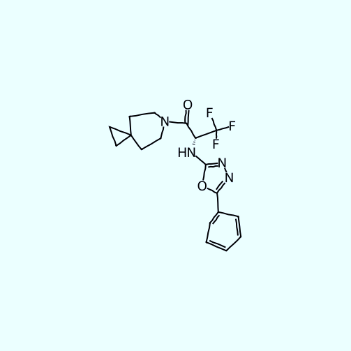 O=C([C@@H](Nc1nnc(-c2ccccc2)o1)C(F)(F)F)N1CCC2(CC1)CC2